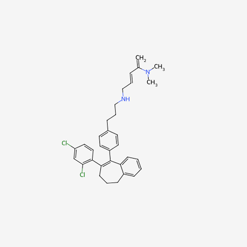 C=C(/C=C/CNCCCc1ccc(C2=C(c3ccc(Cl)cc3Cl)CCCc3ccccc32)cc1)N(C)C